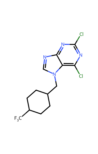 FC(F)(F)C1CCC(Cn2cnc3nc(Cl)nc(Cl)c32)CC1